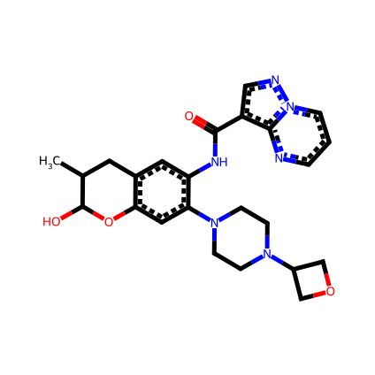 CC1Cc2cc(NC(=O)c3cnn4cccnc34)c(N3CCN(C4COC4)CC3)cc2OC1O